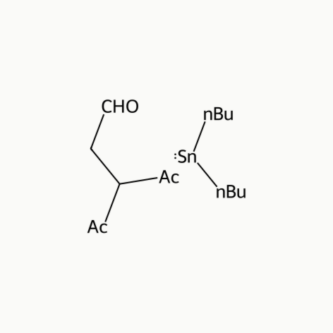 CC(=O)C(CC=O)C(C)=O.CCC[CH2][Sn][CH2]CCC